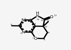 Cc1nc2c3c(n1)OCCC3(C)C(=O)N2